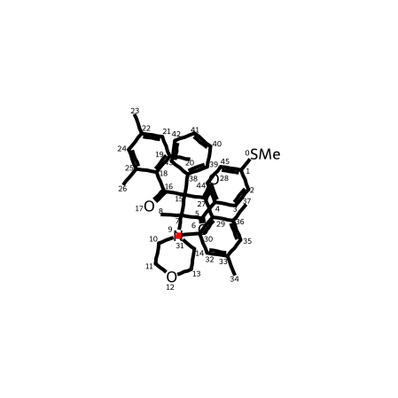 CSc1ccc(C(=O)C(C)(N2CCOCC2)C(C(=O)c2c(C)cc(C)cc2C)(C(=O)c2c(C)cc(C)cc2C)c2ccccc2)cc1